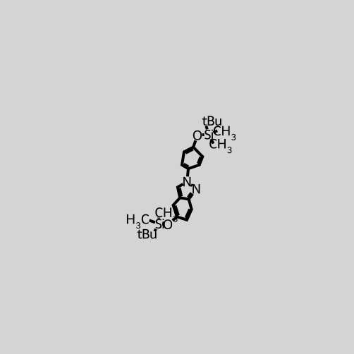 CC(C)(C)[Si](C)(C)Oc1ccc(-n2cc3cc(O[Si](C)(C)C(C)(C)C)ccc3n2)cc1